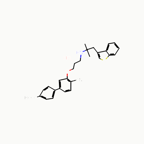 CC(C)(Cc1csc2ccccc12)NC[C@@H](O)COc1cc(-c2ccc(C(=O)O)cc2)ccc1C#N